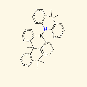 CC1(C)c2ccccc2N(B2c3ccccc3C3(C)c4ccccc4C(C)(C)c4cccc2c43)c2ccccc21